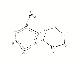 C1CCOCC1.Nc1c[c]cnc1